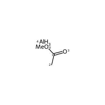 COC(C)=O.[AlH3]